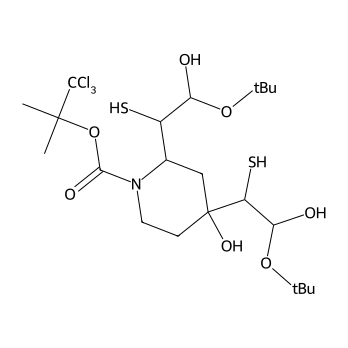 CC(C)(C)OC(O)C(S)C1CC(O)(C(S)C(O)OC(C)(C)C)CCN1C(=O)OC(C)(C)C(Cl)(Cl)Cl